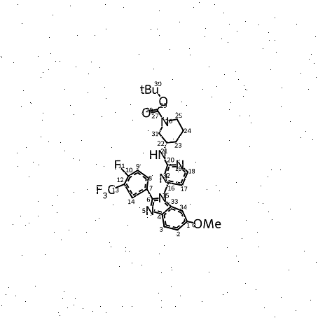 COc1ccc2nc(-c3ccc(F)c(C(F)(F)F)c3)n(-c3ccnc(N[C@H]4CCCN(C(=O)OC(C)(C)C)C4)n3)c2c1